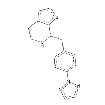 c1cnn(-c2ccc(CC3NCCc4ccsc43)cc2)n1